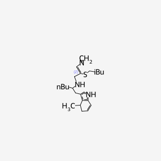 C=N/C=C(/CNC(CCCC)Cc1c[nH]c2c1C(C)CC=C2)SCC(C)CC